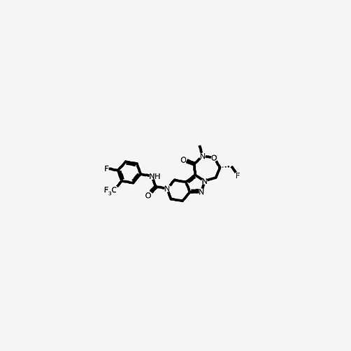 CN1O[C@H](CF)Cn2nc3c(c2C1=O)CN(C(=O)Nc1ccc(F)c(C(F)(F)F)c1)CC3